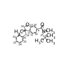 CN(CC(C)(C)C)C(=O)c1ccc2c(c1)OCC2(C)Cc1ccccc1